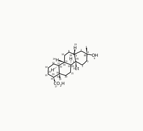 CC[C@]12CC[C@@](C)(O)C[C@H]1CC[C@H]1[C@@H]3CCC[C@H](C(=O)O)[C@@]3(C)CC[C@@H]12